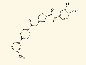 Cc1cccc(N2CCN(C(=O)CN3CC[C@@H](C(=O)Nc4ccc(O)c(Cl)c4)C3)CC2)c1